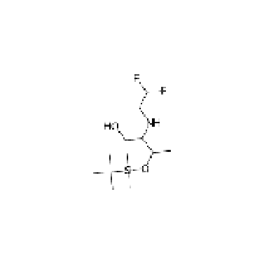 CC(O[Si](C)(C)C(C)(C)C)C(CO)NCC(F)F